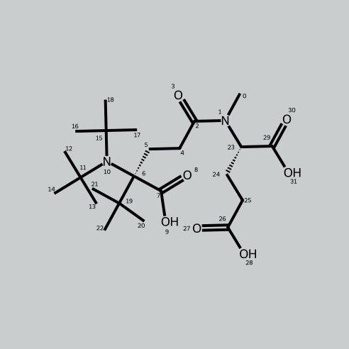 CN(C(=O)CC[C@@](C(=O)O)(N(C(C)(C)C)C(C)(C)C)C(C)(C)C)[C@@H](CCC(=O)O)C(=O)O